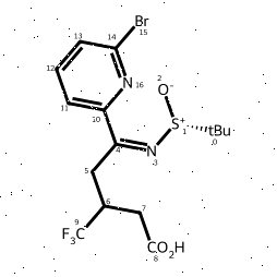 CC(C)(C)[S@@+]([O-])/N=C(/CC(CC(=O)O)C(F)(F)F)c1cccc(Br)n1